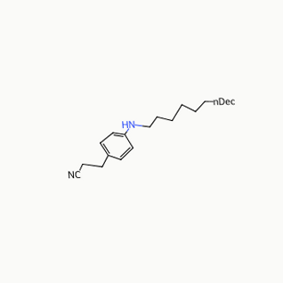 CCCCCCCCCCCCCCCCNc1ccc(CCC#N)cc1